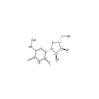 O=CNc1cn([C@@H]2O[C@H](CO)[C@@H](O)[C@H]2O)c(=O)[nH]c1=O